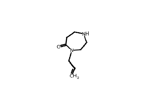 C=CCN1CCNCCC1=O